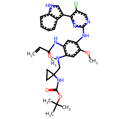 C=CC(=O)Nc1cc(Nc2ncc(Cl)c(-c3c[nH]c4ccccc34)n2)c(OC)cc1N(C)CC1(NC(=O)OC(C)(C)C)CC1